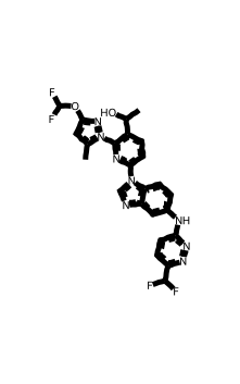 Cc1cc(OC(F)F)nn1-c1nc(-n2cnc3cc(Nc4ccc(C(F)F)nn4)ccc32)ccc1C(C)O